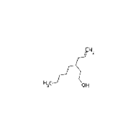 C=CCC(CCO)CCCCC